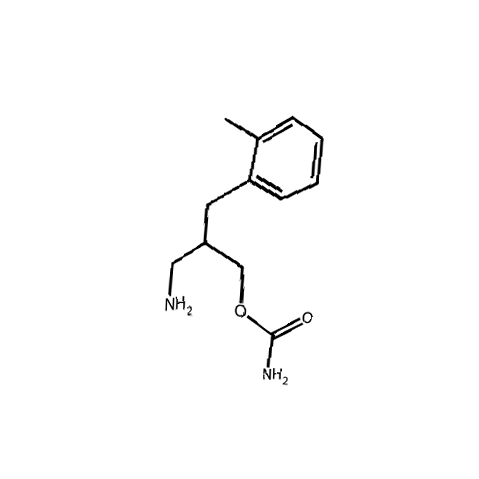 Cc1ccccc1CC(CN)COC(N)=O